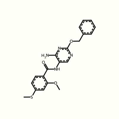 COc1cc(SC)ccc1C(=O)Nc1cnc(OCc2ccccc2)nc1N